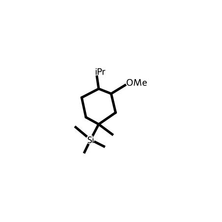 COC1CC(C)([Si](C)(C)C)CCC1C(C)C